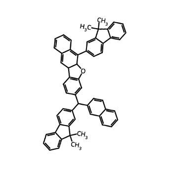 CC1(C)c2ccccc2-c2ccc(C3=c4ccccc4=CC4c5ccc(C(c6ccc7c(c6)C(C)(C)c6ccccc6-7)c6ccc7ccccc7c6)cc5OC34)cc21